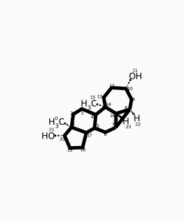 C[C@]12CCC3C(CC4[C@@H]5C[C@@H](O)CC[C@@]3(C)[C@@H]45)C1CC[C@@H]2O